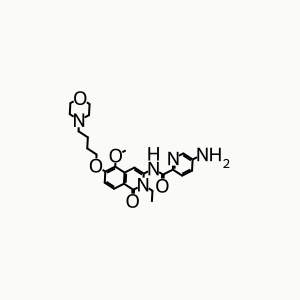 CCn1c(NC(=O)c2ccc(N)cn2)cc2c(OC)c(OCCCCN3CCOCC3)ccc2c1=O